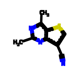 Cc1nc(C)c2scc(C#N)c2n1